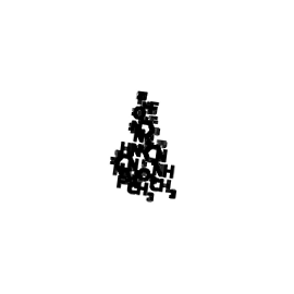 CC(=O)Nc1cc(Nc2ccnc(C(C)(F)F)n2)c(-c2ccc(OC(F)F)nn2)cn1